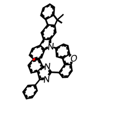 CC1(C)c2ccccc2-c2cc3c4ccccc4n(-c4ccc5oc6cccc(-c7nc(-c8ccccc8)c8ccccc8n7)c6c5c4)c3cc21